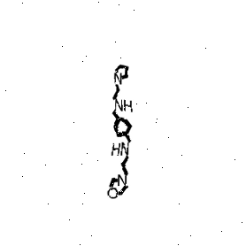 c1cc(CNCCCN2CCOCC2)ccc1CNCCCN1CCCC1